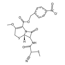 COC1=C(C(=O)OCc2ccc([N+](=O)[O-])cc2)N2C(=O)C(NC(=O)C(C#N)SC)[C@@H]2SC1